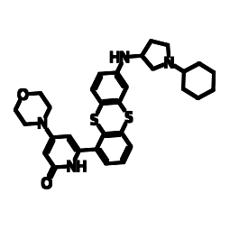 O=c1cc(N2CCOCC2)cc(-c2cccc3c2Sc2ccc(NC4CCN(C5CCCCC5)C4)cc2S3)[nH]1